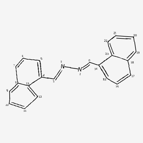 C(=NN=Cc1cccc2ccccc12)c1cccc2ccccc12